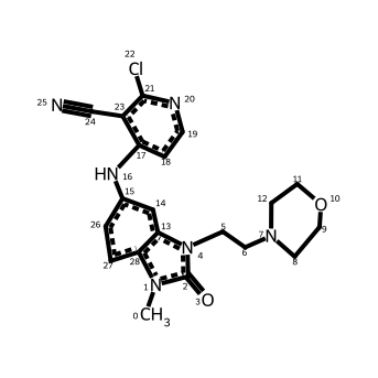 Cn1c(=O)n(CCN2CCOCC2)c2cc(Nc3ccnc(Cl)c3C#N)ccc21